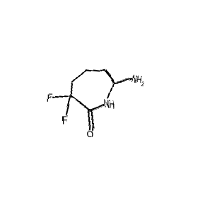 NC1CCCC(F)(F)C(=O)N1